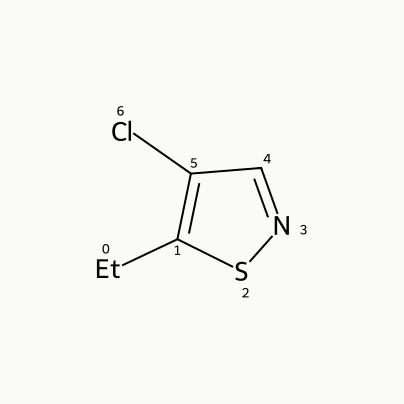 CCc1sncc1Cl